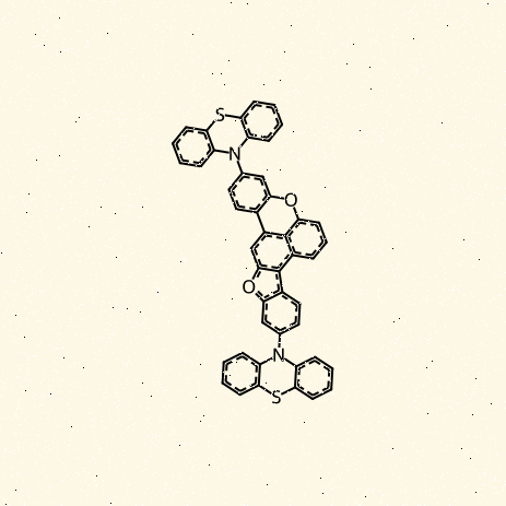 c1ccc2c(c1)Sc1ccccc1N2c1ccc2c(c1)Oc1cccc3c1c-2cc1oc2cc(N4c5ccccc5Sc5ccccc54)ccc2c13